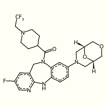 O=C(C1CCN(CC(F)(F)F)CC1)N1Cc2cc(F)cnc2Nc2ccc(N3C[C@H]4COC[C@@H](C3)O4)cc21